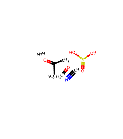 C#N.C=O.CC(C)=O.O=S(O)O.[NaH]